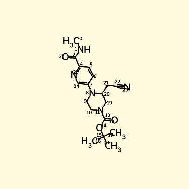 CNC(=O)c1ccc(N2CCN(C(=O)OC(C)(C)C)C[C@@H]2CC#N)cn1